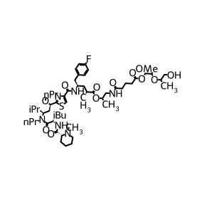 CCCO[C@H](C[C@H](C(C)C)N(CCC)C(=O)[C@@H](NC(=O)[C@H]1CCCCN1C)[C@@H](C)CC)c1nc(C(=O)N[C@@H](Cc2ccc(F)cc2)C[C@H](C)C(=O)OC(C)CNC(=O)CCCC(=O)OCC(OC)OC(C)CO)cs1